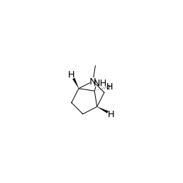 CN1C[C@@H]2CC[C@H]1[C@H]2N